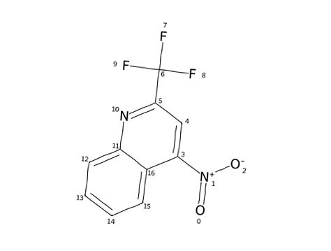 O=[N+]([O-])c1cc(C(F)(F)F)nc2ccccc12